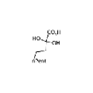 CCCCCCCC(O)(O)C(=O)O